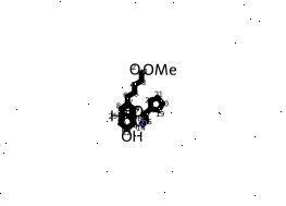 COC(=O)CCCCC1=C[C@H]2C[C@@H](O)[C@@H](/C=C\[C@@H](O)C3CCCC3)[C@H]2C1